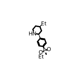 CCOP(C)(=O)c1ccc([C@@H]2C[C@H](CC)CCN2)cc1